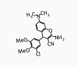 COc1cc(C2C(C#N)=C(N)Oc3cc(N(C)C)ccc32)cc(Cl)c1OC